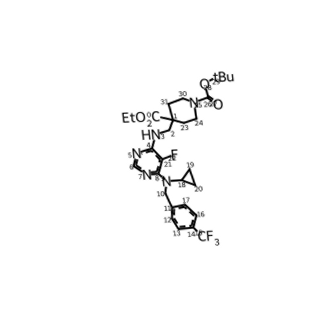 CCOC(=O)C1(CNc2ncnc(N(Cc3ccc(C(F)(F)F)cc3)C3CC3)c2F)CCN(C(=O)OC(C)(C)C)CC1